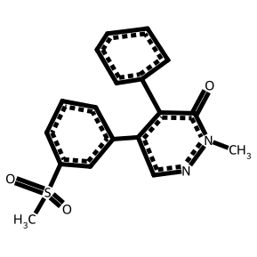 Cn1ncc(-c2cccc(S(C)(=O)=O)c2)c(-c2ccccc2)c1=O